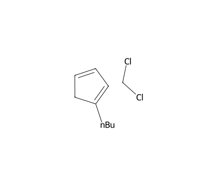 CCCCC1=CC=CC1.ClCCl